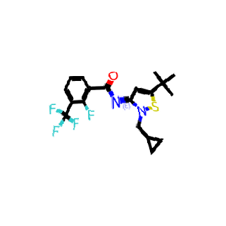 CC(C)(C)c1c/c(=N\C(=O)c2cccc(C(F)(F)F)c2F)n(CC2CC2)s1